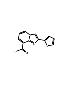 NC(=O)c1cccn2cc(-c3cccs3)nc12